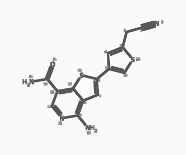 N#CCc1cc(-c2cc3c(N)ncc(C(N)=O)c3s2)cs1